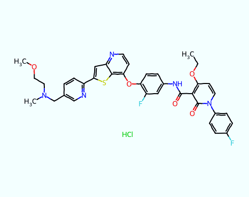 CCOc1ccn(-c2ccc(F)cc2)c(=O)c1C(=O)Nc1ccc(Oc2ccnc3cc(-c4ccc(CN(C)CCOC)cn4)sc23)c(F)c1.Cl